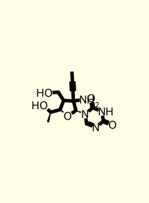 CC#CC1(N)C(CO)[C@@H]([C@@H](C)O)O[C@H]1n1cnc(=O)[nH]c1=O